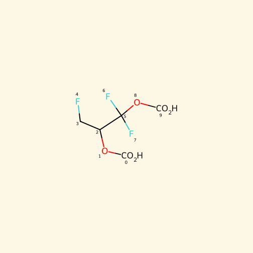 O=C(O)OC(CF)C(F)(F)OC(=O)O